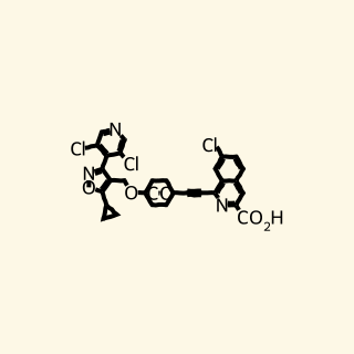 O=C(O)c1cc2ccc(Cl)cc2c(C#CC23CCC(OCc4c(-c5c(Cl)cncc5Cl)noc4C4CC4)(CC2)CC3)n1